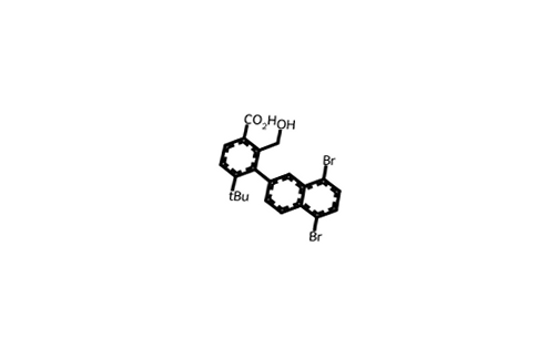 CC(C)(C)c1ccc(C(=O)O)c(CO)c1-c1ccc2c(Br)ccc(Br)c2c1